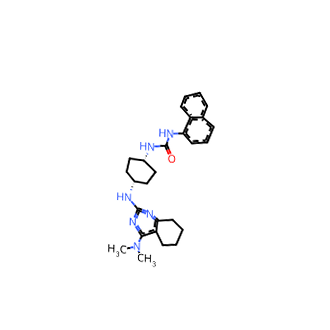 CN(C)c1nc(N[C@H]2CC[C@@H](NC(=O)Nc3cccc4ccccc34)CC2)nc2c1CCCC2